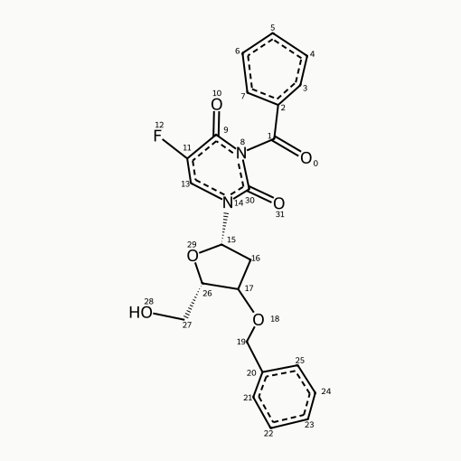 O=C(c1ccccc1)n1c(=O)c(F)cn([C@@H]2CC(OCc3ccccc3)[C@H](CO)O2)c1=O